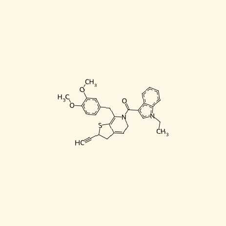 C#CC1CC2=CCN(C(=O)c3cn(CC)c4ccccc34)C(Cc3ccc(OC)c(OC)c3)=C2S1